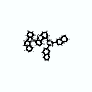 c1ccc2cc(-c3nc(-c4ccc5ccccc5c4)nc(-c4cccc5oc6c(-n7c8ccccc8c8ccc9ccccc9c87)cccc6c45)n3)ccc2c1